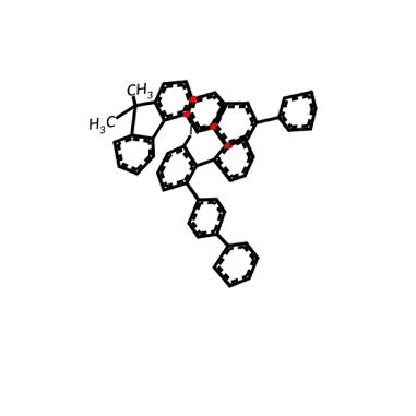 CC1(C)c2ccccc2-c2c(N(c3ccc(-c4ccccc4)cc3)c3cccc(-c4ccc(-c5ccccc5)cc4)c3-c3ccccc3-c3ccccc3)cccc21